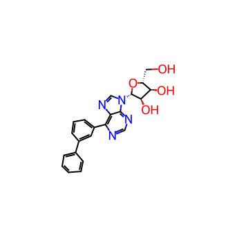 OC[C@H]1O[C@@H](n2cnc3c(-c4cccc(-c5ccccc5)c4)ncnc32)[C@H](O)[C@@H]1O